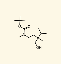 CC(C)C(C)(CO)CCN(C)C(=O)OC(C)(C)C